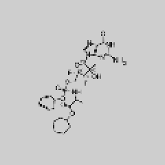 CC(NP(=O)(OC[C@@]1(F)O[C@@H](n2cnc3c(=O)[nH]c(N)nc32)[C@](C)(O)[C@@H]1F)Oc1ccccc1)C(=O)OC1CCCCC1